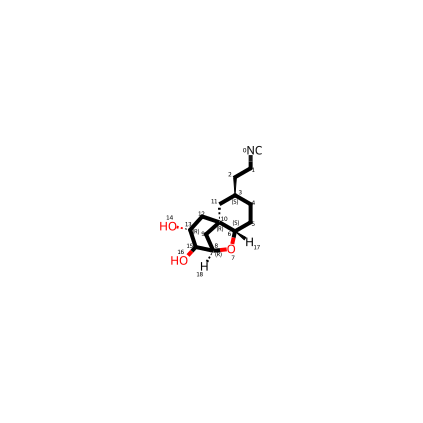 [C-]#[N+]CC[C@H]1CC[C@@H]2O[C@@H]3C[C@@]2(C1)C[C@@H](O)C3O